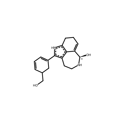 OCC1C=CC=C(c2[nH]c3c4c2CCN[C@H](O)C4=CCC3)C1